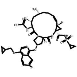 C[C@@H]1CC/C=C\[C@@H]2C[C@@]2(C(=O)NS(=O)(=O)C2CC2)NC(=O)[C@@H]2C[C@@H](Oc3ncc(OCC4CC4)c4ccc(F)cc34)CN2C(=O)[C@@H](NC(=O)O)[C@H](C)C1